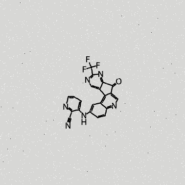 N#Cc1ncccc1Nc1ccc2ncc3c(c2c1)-c1cnc(C(F)(F)F)nc1C3=O